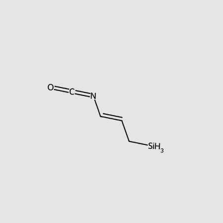 O=C=NC=CC[SiH3]